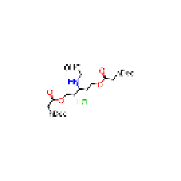 CCCCCCCCCCCC(=O)OCCC(CCOC(=O)CCCCCCCCCCC)NCC=O.Cl